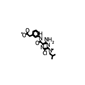 COC(=O)Cc1cccc(NC(=O)c2nc(Cl)c(N(C)CC(C)C)nc2N)c1